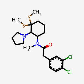 CSC1(SC)CCCC(N(C)C(=O)Cc2ccc(Cl)c(Cl)c2)C1N1CCCC1